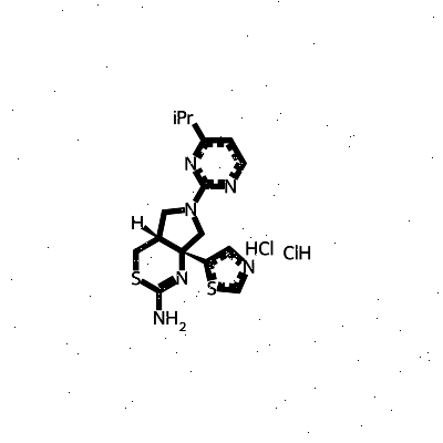 CC(C)c1ccnc(N2C[C@H]3CSC(N)=N[C@@]3(c3cncs3)C2)n1.Cl.Cl